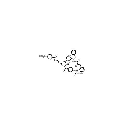 CNC(=O)NC1CCN(C(=O)[C@@H](CCCCNC(=O)N2CCC(C(=O)O)CC2)NC(=O)[C@@H](CC(C)C)NC(=O)[C@@H](Cc2ccccc2)NC(=O)[C@H](N)Cc2ccccc2)CC1